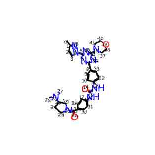 Cc1ccn(-c2nc(-c3ccc(NC(=O)Nc4ccc(C(=O)N5CCC(N(C)C)C5)cc4)cc3)nc(N3CCOCC3)n2)n1